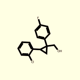 OCC1(c2ccc(F)cc2)CC1c1ccccc1Cl